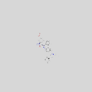 COC(=O)c1ccc2c(c1)NC(=O)/C2=C(\Nc1ccc(CN(C)CCc2ccccc2)cc1)c1ccccc1